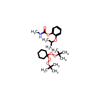 CC(C)(C)OOC1(OOC(C)(C)C)CCCCC1.CNC(=O)Oc1ccccc1OC(C)C